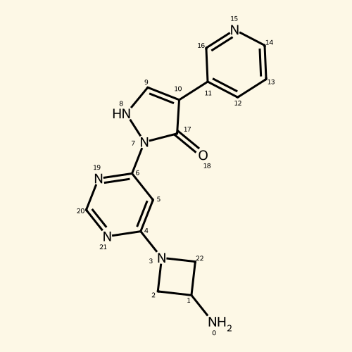 NC1CN(c2cc(-n3[nH]cc(-c4cccnc4)c3=O)ncn2)C1